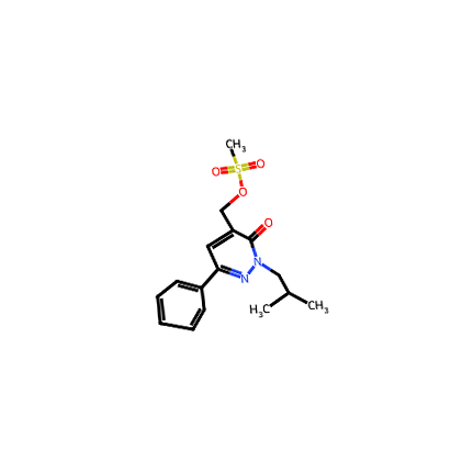 CC(C)Cn1nc(-c2ccccc2)cc(COS(C)(=O)=O)c1=O